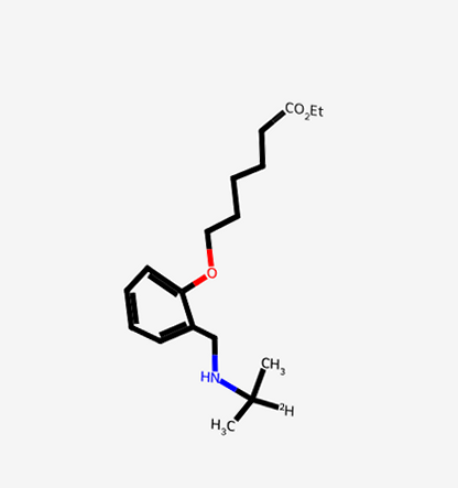 [2H]C(C)(C)NCc1ccccc1OCCCCCC(=O)OCC